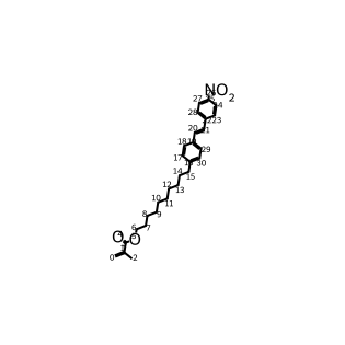 C=C(C)C(=O)OCCCCCCCCCCc1ccc(C=Cc2ccc([N+](=O)[O-])cc2)cc1